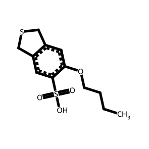 CCCCOc1cc2c(cc1S(=O)(=O)O)CSC2